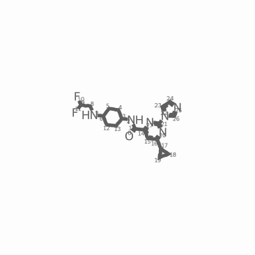 O=C(NC1CCC(NCC(F)F)CC1)c1cc(C2CC2)nc(-n2ccnc2)n1